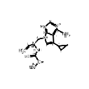 C=C[C@@H](Cn1cc(C2CC2)c2c(N)ncnc21)NC(=O)OC(C)(C)C